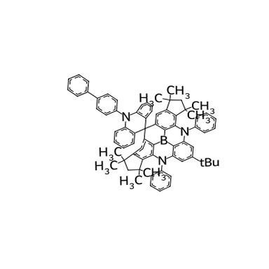 CC(C)(C)c1cc2c3c(c1)N(c1ccccc1)c1c4c(cc5c1C(C)(C)CC5(C)C)C1(c5ccccc5N(c5ccc(-c6ccccc6)cc5)c5ccccc51)c1cc5c(c(c1B34)N2c1ccccc1)C(C)(C)CC5(C)C